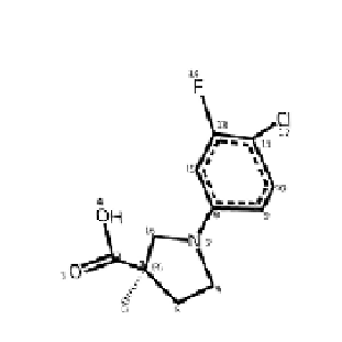 C[C@@]1(C(=O)O)CCN(c2ccc(Cl)c(F)c2)C1